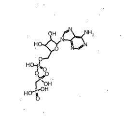 Nc1ncnc2c1ncn2C1OC(COP(=O)(O)OP(=O)(O)CP(=O)(O)O)C(O)C1O